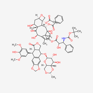 CC(=O)O[C@@]12CO[C@@H]1C[C@H](O)[C@@]1(C)C(=O)[C@H](O)C3=C(C)[C@@H](OC(=O)C(O)[C@@H](NC(=O)OC(C)(C)C)c4ccccc4)C[C@@](O)([C@@H](OC(=O)c4ccccc4)[C@H]21)C3(C)C.COc1cc([C@@H]2c3cc4c(cc3C(O[C@@H]3O[C@@H]5CO[C@@H](C)O[C@H]5[C@H](O)[C@H]3O)C3COC(=O)[C@@H]32)OCO4)cc(OC)c1O